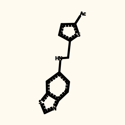 CC(=O)c1ccc(CNc2ccc3ncsc3c2)s1